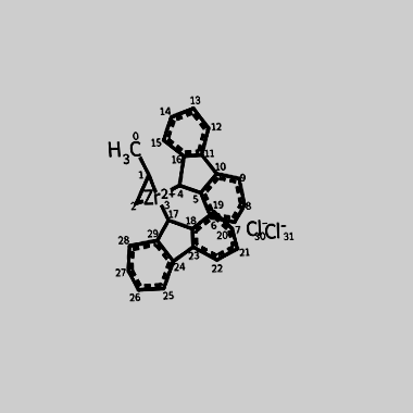 C[CH]1[CH2][Zr+2]1([CH]1c2ccccc2-c2ccccc21)[CH]1c2ccccc2-c2ccccc21.[Cl-].[Cl-]